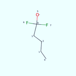 CCCCC([O])(F)F